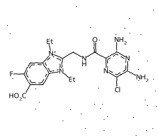 CCn1c(CNC(=O)c2nc(Cl)c(N)nc2N)[n+](CC)c2cc(F)c(C(=O)O)cc21